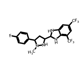 CN1NC(C2Nc3cc(C(F)(F)F)cc(C(F)(F)F)c3N2)CC1c1ccc(F)cc1